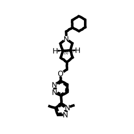 Cc1cnn(C)c1-c1ccc(OCC2C[C@@H]3CN(CC4CCCCC4)C[C@@H]3C2)nn1